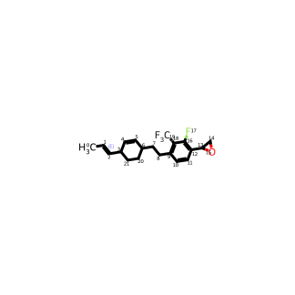 C/C=C/C1C=CC(CCc2ccc(C3CO3)c(F)c2C(F)(F)F)CC1